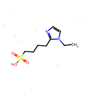 CCn1ccnc1CCCCS(=O)(=O)O